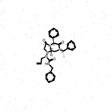 C=CCN(C(=O)NCc1ccccc1)N1CC(=O)N2[C@@H](c3ccccc3)C(=O)N([C@@H](C)c3ccccc3)C[C@@H]21